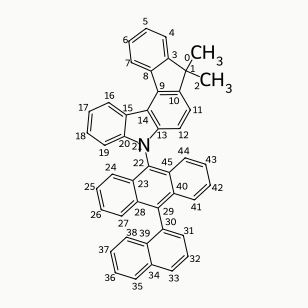 CC1(C)c2ccccc2-c2c1ccc1c2c2ccccc2n1-c1c2ccccc2c(-c2cccc3ccccc23)c2ccccc12